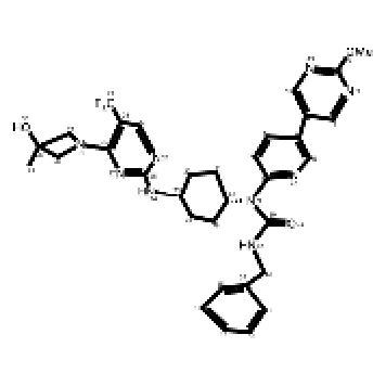 COc1ncc(-c2ccc(N(C(=O)NCc3ccccc3)[C@H]3CC[C@H](Nc4ncc(C(F)(F)F)c(N5CC(C)(O)C5)n4)CC3)nc2)cn1